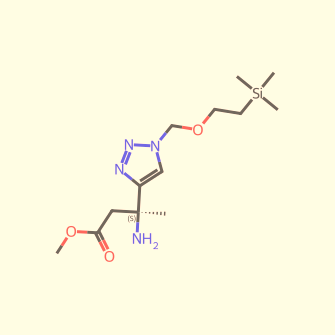 COC(=O)C[C@](C)(N)c1cn(COCC[Si](C)(C)C)nn1